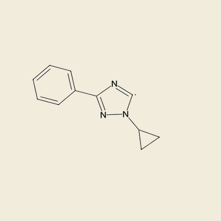 [c]1nc(-c2ccccc2)nn1C1CC1